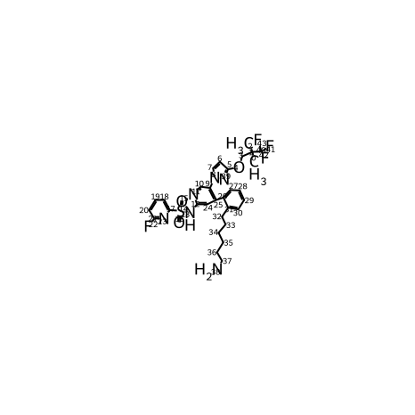 CC(C)(COc1ccn(-c2cnc(NS(=O)(=O)c3cccc(F)n3)cc2-c2ccccc2CCCCCCN)n1)C(F)(F)F